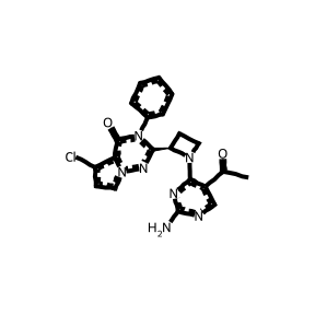 CC(=O)c1cnc(N)nc1N1CC[C@@H]1c1nn2ccc(Cl)c2c(=O)n1-c1ccccc1